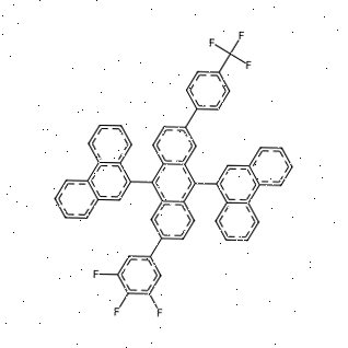 Fc1cc(-c2ccc3c(-c4cc5ccccc5c5ccccc45)c4cc(-c5ccc(C(F)(F)F)cc5)ccc4c(-c4cc5ccccc5c5ccccc45)c3c2)cc(F)c1F